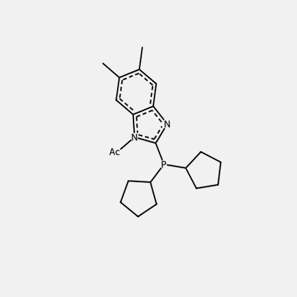 CC(=O)n1c(P(C2CCCC2)C2CCCC2)nc2cc(C)c(C)cc21